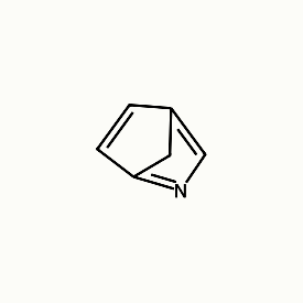 C1=CC2=NC=C1C2